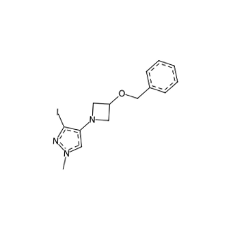 Cn1cc(N2CC(OCc3ccccc3)C2)c(I)n1